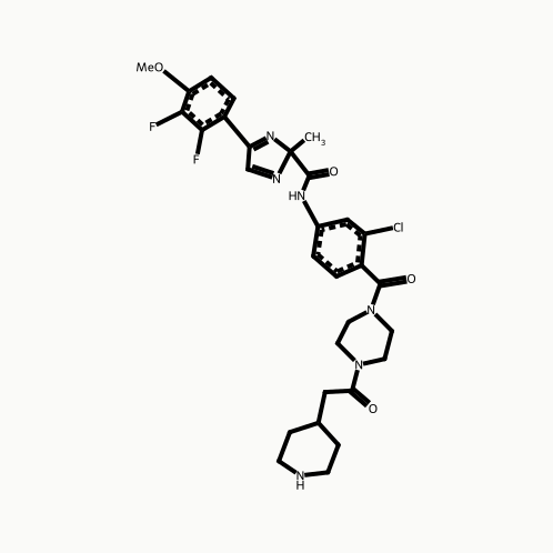 COc1ccc(C2=NC(C)(C(=O)Nc3ccc(C(=O)N4CCN(C(=O)CC5CCNCC5)CC4)c(Cl)c3)N=C2)c(F)c1F